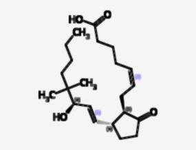 CCCCC(C)(C)[C@H](O)/C=C/[C@H]1CCC(=O)[C@@H]1C/C=C\CCCC(=O)O